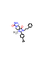 CN1C(c2ccc(C3CC3)cc2)N(CCCc2ccccc2)C(=O)C12CCN(C(N)=O)CC2